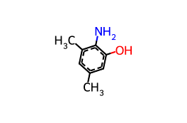 Cc1cc(C)c(N)c(O)c1